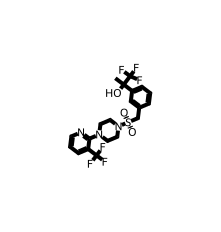 CC(O)(c1cccc(CS(=O)(=O)N2CCN(c3ncccc3C(F)(F)F)CC2)c1)C(F)(F)F